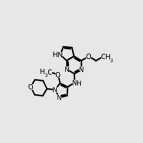 CCOc1nc(Nc2cnn(C3CCOCC3)c2OC)nc2[nH]ccc12